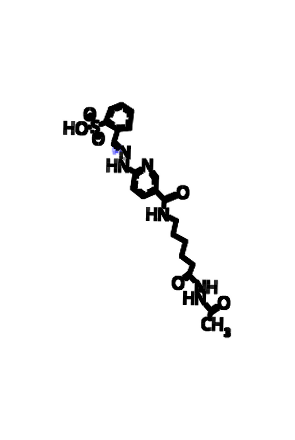 CC(=O)NNC(=O)CCCCCNC(=O)c1ccc(N/N=C/c2ccccc2S(=O)(=O)O)nc1